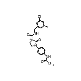 CC(=O)Nc1ccc(N2CC[C@H](C(=O)NCc3cc(F)cc(Cl)c3)C2=O)cc1